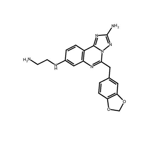 NCCNc1ccc2c(c1)nc(Cc1ccc3c(c1)OCO3)n1nc(N)nc21